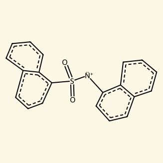 O=S(=O)([N+]c1cccc2ccccc12)c1cccc2ccccc12